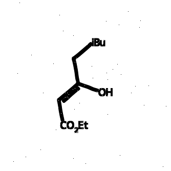 CCOC(=O)C=C(O)CC(C)CC